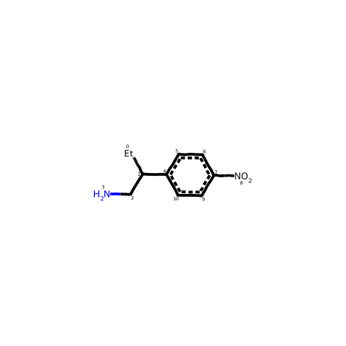 CCC(CN)c1ccc([N+](=O)[O-])cc1